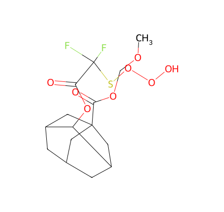 COCOC(=O)C12CC3CC(C1)C(OC(=O)C(F)(F)SOOO)C(C3)C2